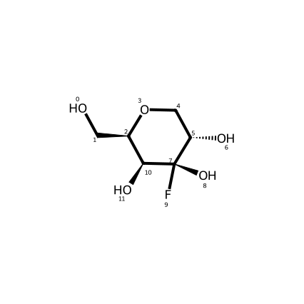 OC[C@H]1OC[C@H](O)[C@](O)(F)[C@H]1O